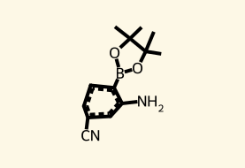 CC1(C)OB(c2ccc(C#N)cc2N)OC1(C)C